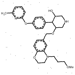 COCCCN1CCOc2ccc(COC3CNCC(O)C3c3ccc(Oc4cccc(C)n4)cc3)cc21